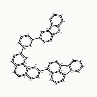 c1cc(-c2ccc3sc4ccccc4c3c2)cc(-c2ccc3ccc4ccc(-c5ccc6c7c(cccc57)-c5ccccc5-6)nc4c3n2)c1